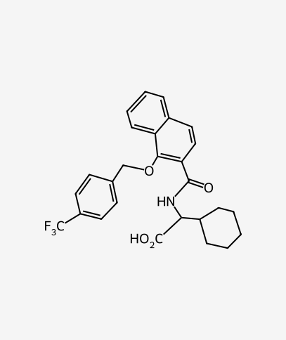 O=C(NC(C(=O)O)C1CCCCC1)c1ccc2ccccc2c1OCc1ccc(C(F)(F)F)cc1